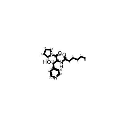 CCCCCC(=O)NC(C(=O)N1CCCC1)[C@@H](O)c1ccncc1